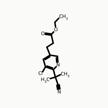 CCOC(=O)CCc1cnc(C(C)(C)C#N)c(Cl)c1